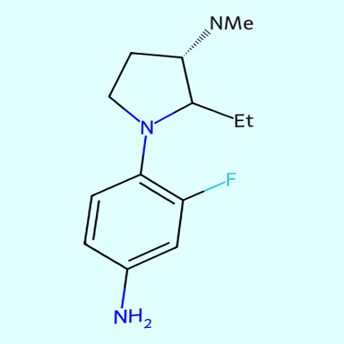 CCC1[C@@H](NC)CCN1c1ccc(N)cc1F